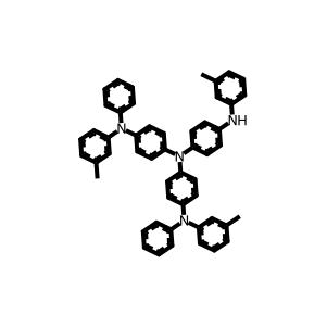 Cc1cccc(Nc2ccc(N(c3ccc(N(c4ccccc4)c4cccc(C)c4)cc3)c3ccc(N(c4ccccc4)c4cccc(C)c4)cc3)cc2)c1